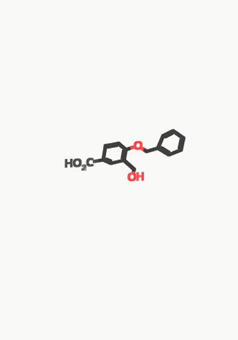 O=C(O)c1ccc(OCc2ccccc2)c(CO)c1